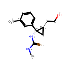 CC(C)(C)NC(=S)N[C@@]1(c2cccc([N+](=O)[O-])c2)C[C@H]1CCO